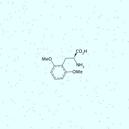 COc1cccc(OC)c1C[C@H](N)C(=O)O